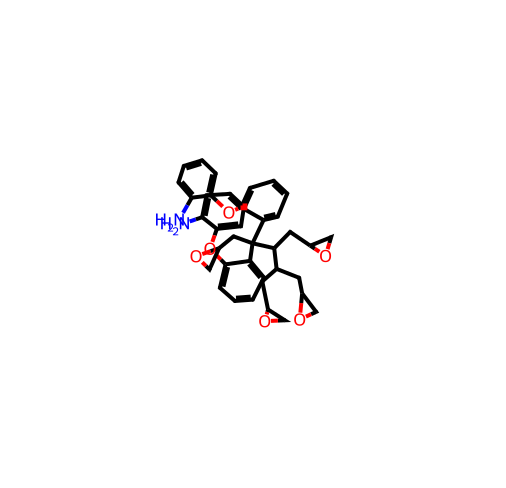 Nc1ccccc1Oc1ccccc1C(CC1CO1)(c1ccccc1Oc1ccccc1N)C(CC1CO1)C(CC1CO1)CC1CO1